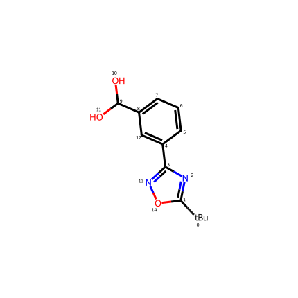 CC(C)(C)c1nc(-c2cccc(C(O)O)c2)no1